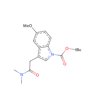 COc1ccc2c(c1)c(CC(=O)N(C)C)cn2C(=O)OC(C)(C)C